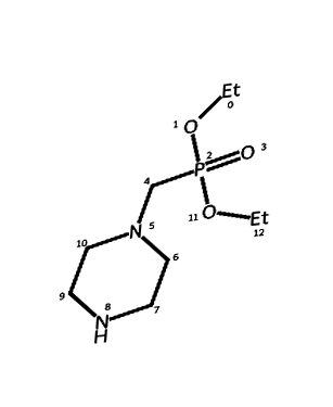 CCOP(=O)(CN1CCNCC1)OCC